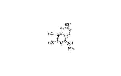 Cc1nc(NN)c2ccccc2n1.Cl.Cl